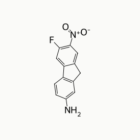 Nc1ccc2c(c1)Cc1cc([N+](=O)[O-])c(F)cc1-2